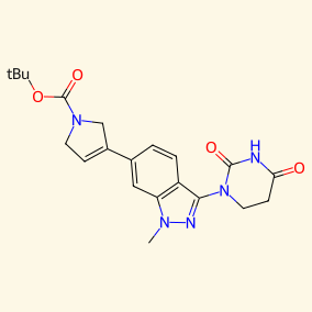 Cn1nc(N2CCC(=O)NC2=O)c2ccc(C3=CCN(C(=O)OC(C)(C)C)C3)cc21